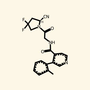 Cc1ccccc1-c1cnccc1C(=O)NCC(=O)N1CC(F)(F)C[C@H]1C#N